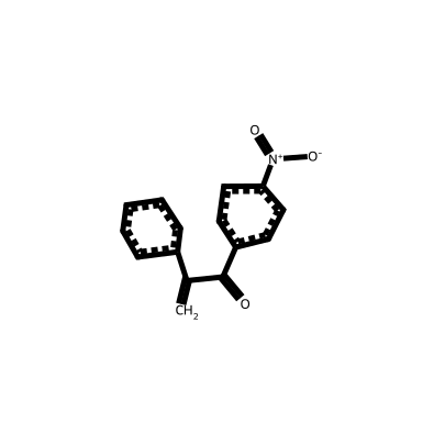 C=C(C(=O)c1ccc([N+](=O)[O-])cc1)c1ccccc1